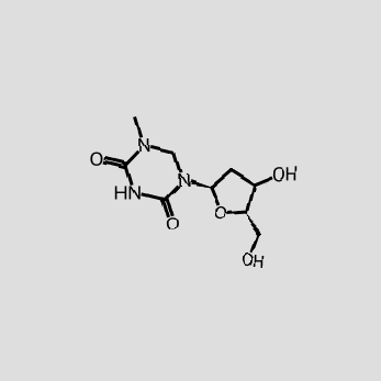 CN1CN([C@H]2CC(O)[C@@H](CO)O2)C(=O)NC1=O